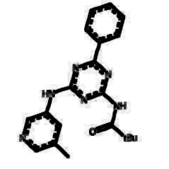 Cc1cncc(Nc2nc(NC(=O)C(C)(C)C)nc(-c3ccccc3)n2)c1